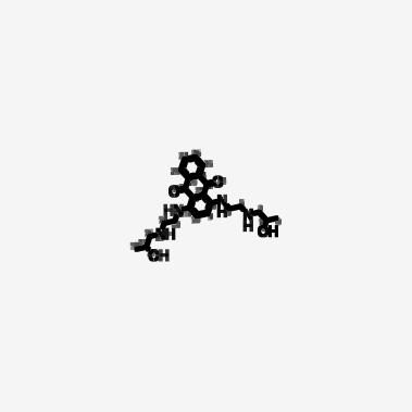 CC(O)CNCCNc1ccc(NCCNCC(C)O)c2c1C(=O)c1ccccc1C2=O